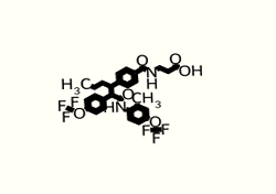 CCCC(c1ccc(C(=O)NCCC(=O)O)cc1)C(C(=O)Nc1ccc(OC(F)(F)F)cc1C)c1ccc(OC(F)(F)F)cc1